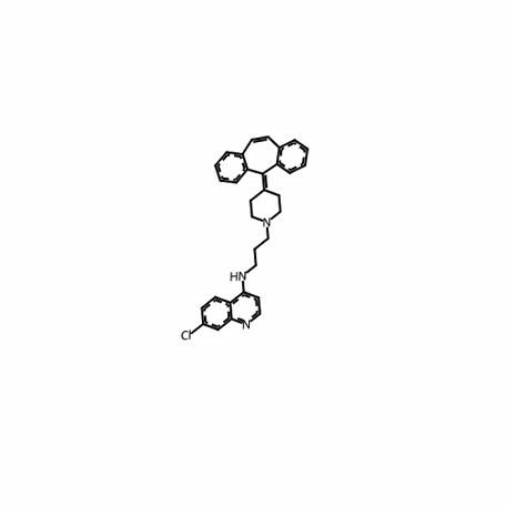 Clc1ccc2c(NCCCN3CCC(=C4c5ccccc5C=Cc5ccccc54)CC3)ccnc2c1